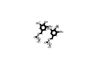 CCO[PH](=O)OCc1cc(C(C)(C)C)c(O)c(C(C)(C)C)c1.CCO[PH](=O)OCc1cc(C(C)(C)C)c(O)c(C(C)(C)C)c1.[Ni]